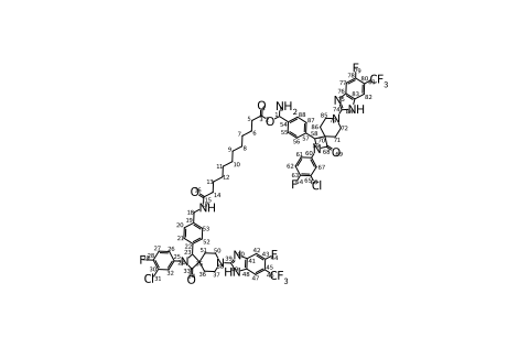 NC(OC(=O)CCCCCCCCCCC(=O)NCc1ccc(C2N(c3ccc(F)c(Cl)c3)C(=O)C23CCN(c2nc4cc(F)c(C(F)(F)F)cc4[nH]2)CC3)cc1)c1ccc(C2N(c3ccc(F)c(Cl)c3)C(=O)C23CCN(c2nc4cc(F)c(C(F)(F)F)cc4[nH]2)CC3)cc1